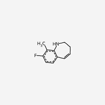 Cc1c(F)ccc2c1NCCC=C2